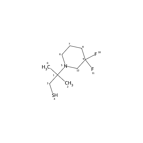 CC(C)(CS)N1CCCC(F)(F)C1